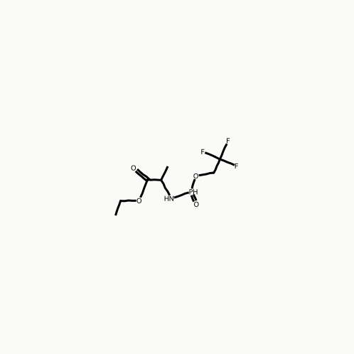 CCOC(=O)C(C)N[PH](=O)OCC(F)(F)F